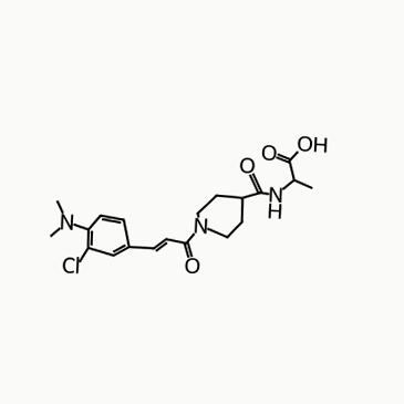 CC(NC(=O)C1CCN(C(=O)/C=C/c2ccc(N(C)C)c(Cl)c2)CC1)C(=O)O